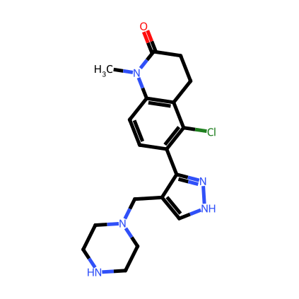 CN1C(=O)CCc2c1ccc(-c1n[nH]cc1CN1CCNCC1)c2Cl